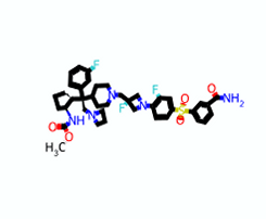 COC(=O)N[C@H]1CCC[C@@H]1[C@](CN1CCC1)(c1cccc(F)c1)C1CCN(CC2(F)CN(c3ccc(S(=O)(=O)c4cccc(C(N)=O)c4)cc3F)C2)CC1